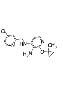 CC1(Oc2nccc(NCc3cc(Cl)ccn3)c2N)CC1